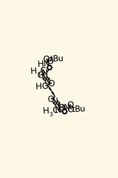 CN(Cc1cccc(NC(=O)OC(C)(C)C)c1)C(=O)N1CCN(C(=O)CC#CC#CC(O)C(=O)N2CCN(C(=O)N(C)Cc3cccc(NC(=O)OC(C)(C)C)c3)CC2)CC1